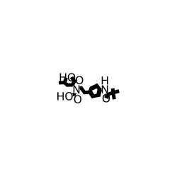 CC(C)CC(C(=O)O)N(CCc1ccc(NC(=O)C(C)(C)C)cc1)C(=O)O